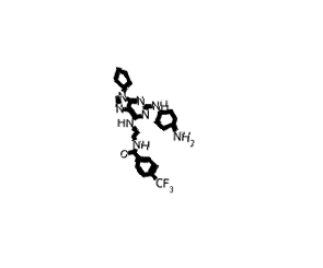 NC1CCC(Nc2nc(NCCNC(=O)c3ccc(C(F)(F)F)cc3)c3ncn(C4CCCC4)c3n2)CC1